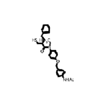 CC(=O)Nc1ccc(COc2ccc(N(CC(=O)O)C(=O)C(CS)CCc3ccccc3)cc2)cc1